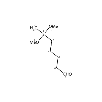 CO[Si](C)(CCCCC=O)OC